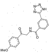 COc1ccc(C(=O)CNC(=O)c2cccc(-c3nnn[nH]3)c2)cc1